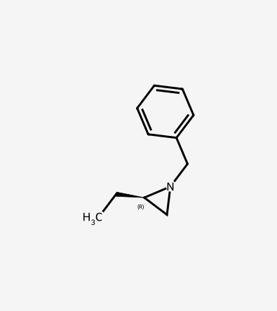 CC[C@@H]1CN1Cc1ccccc1